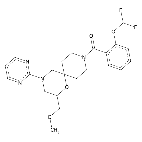 COCC1CN(c2ncccn2)CC2(CCN(C(=O)c3ccccc3OC(F)F)CC2)O1